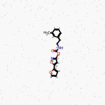 Cc1cccc(CCNC(=O)Oc2cc(-c3ccco3)on2)c1